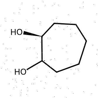 O[C]1CCCCC[C@@H]1O